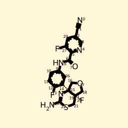 N#Cc1cnc(C(=O)Nc2ccc(F)c([C@]34COC[C@@]3(F)CSC(N)=N4)c2)c(F)c1